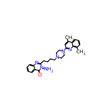 Cc1cc(N2CCN(CCCCc3nc4ccccc4c(=O)n3N)CC2)nc2c(C)cccc12